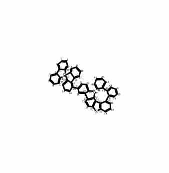 c1ccc2c(c1)-c1ccccc1[Si]21c2ccccc2-c2c(-c3ccc4c(c3)c3ccc5sc6cccc7c8ccccc8c8ccccc8n4c3c5c67)cccc21